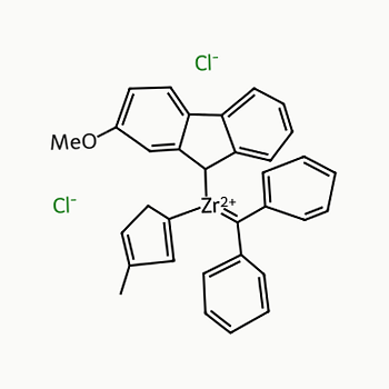 COc1ccc2c(c1)[CH]([Zr+2]([C]1=CC(C)=CC1)=[C](c1ccccc1)c1ccccc1)c1ccccc1-2.[Cl-].[Cl-]